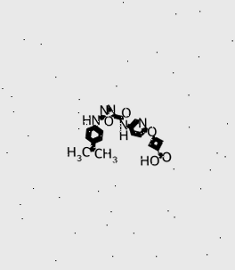 CC(C)c1ccc(Nc2nnc(C(=O)Nc3ccc(O[C@H]4C[C@@H](C(=O)O)C4)nc3)o2)cc1